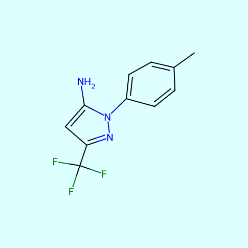 Cc1ccc(-n2nc(C(F)(F)F)cc2N)cc1